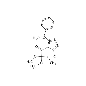 COC(OC)(OC)C(=O)c1c(Cl)nnn1[C@H](C)c1ccccc1